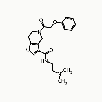 CN(C)CCNC(=O)c1noc2c1CN(C(=O)COc1ccccc1)CC2